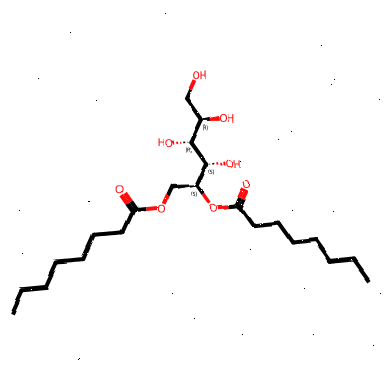 CCCCCCCC(=O)OC[C@H](OC(=O)CCCCCCC)[C@@H](O)[C@H](O)[C@H](O)CO